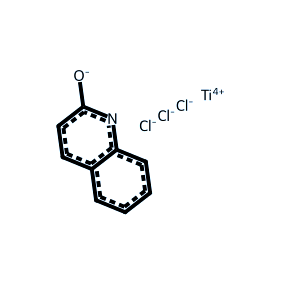 [Cl-].[Cl-].[Cl-].[O-]c1ccc2ccccc2n1.[Ti+4]